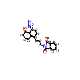 Nc1ccc(C=CCN2C(=O)c3ccccc3C2=O)c2c1C(=O)CC=C2